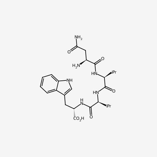 CC(C)[C@H](NC(=O)[C@@H](NC(=O)[C@@H](N)CC(N)=O)C(C)C)C(=O)N[C@@H](Cc1c[nH]c2ccccc12)C(=O)O